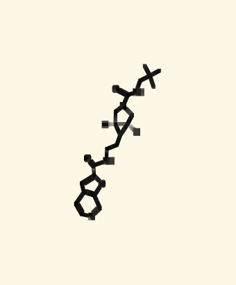 CC(C)(C)CNC(=O)N1C[C@@H]2C(CCNC(=O)c3cc4ccncc4o3)[C@@H]2C1